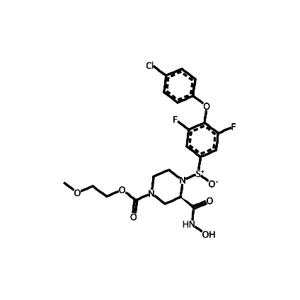 COCCOC(=O)N1CCN([S+]([O-])c2cc(F)c(Oc3ccc(Cl)cc3)c(F)c2)[C@@H](C(=O)NO)C1